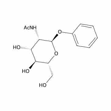 CC(=O)N[C@@H]1[C@@H](Oc2ccccc2)O[C@H](CO)[C@@H](O)[C@@H]1O